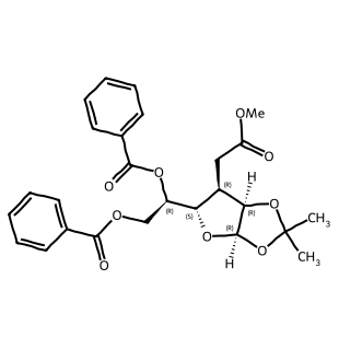 COC(=O)C[C@H]1[C@H]2OC(C)(C)O[C@H]2O[C@@H]1[C@@H](COC(=O)c1ccccc1)OC(=O)c1ccccc1